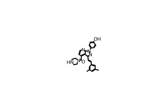 Cc1cc(C)cc(C=Cc2nn(-c3ccc(O)cc3)c3nccc(C(=O)N4CCNCC4)c23)c1